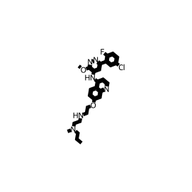 CCCN(C)CCNCCOc1ccc2c(Nc3cc(-c4cc(Cl)ccc4F)nnc3OC)ccnc2c1